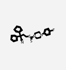 N#CC(CCSC(=S)N1CCN(c2ccc(F)cc2)CC1)(c1ccccc1)c1ccccc1